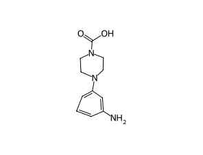 Nc1cccc(N2CCN(C(=O)O)CC2)c1